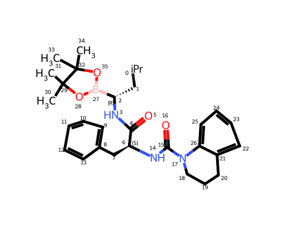 CC(C)C[C@H](NC(=O)[C@H](Cc1ccccc1)NC(=O)N1CCCc2ccccc21)B1OC(C)(C)C(C)(C)O1